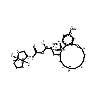 B[C@H](NC(=O)O[C@H]1CO[C@H]2OCC[C@H]21)[C@H](O)CN1CCNCCCCCOc2cc(OC)ccc2S1(=O)=O